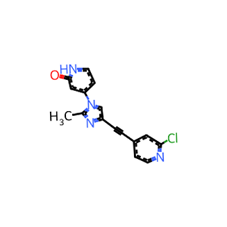 Cc1nc(C#Cc2ccnc(Cl)c2)cn1-c1cc[nH]c(=O)c1